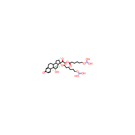 C[C@H]1CC2C3CCC4=CC(=O)C=C[C@]4(C)[C@@]3(Cl)[C@@H](O)C[C@]2(C)[C@@]1(OC(=O)CCCCCON(O)O)C(=O)COC(=O)CCCCCON(O)O